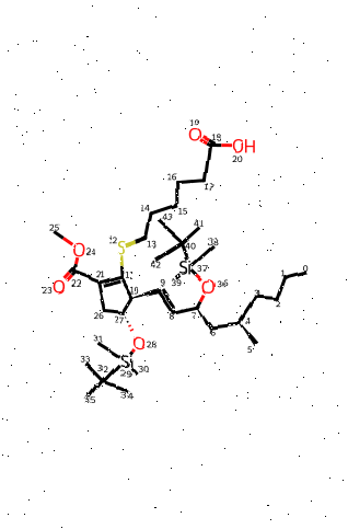 CCCC[C@@H](C)C[C@@H](/C=C/[C@@H]1C(SCCCCCC(=O)O)=C(C(=O)OC)C[C@H]1O[Si](C)(C)C(C)(C)C)O[Si](C)(C)C(C)(C)C